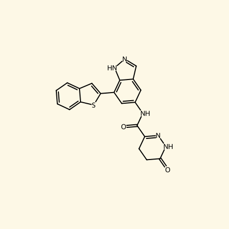 O=C1CCC(C(=O)Nc2cc(-c3cc4ccccc4s3)c3[nH]ncc3c2)=NN1